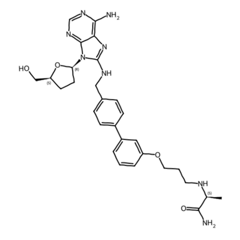 C[C@H](NCCCOc1cccc(-c2ccc(CNc3nc4c(N)ncnc4n3[C@H]3CC[C@@H](CO)O3)cc2)c1)C(N)=O